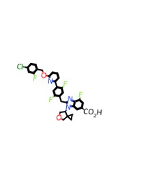 O=C(O)c1cc(F)c2nc(Cc3cc(F)c(-c4cccc(OCc5ccc(Cl)cc5F)n4)cc3F)n(C3COCC34CC4)c2c1